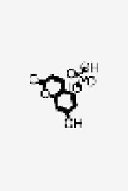 O=S(=O)(O)O.O=c1ccc2ccc(O)cc2o1